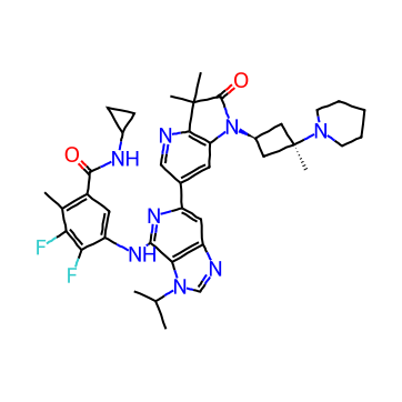 Cc1c(C(=O)NC2CC2)cc(Nc2nc(-c3cnc4c(c3)N([C@H]3C[C@@](C)(N5CCCCC5)C3)C(=O)C4(C)C)cc3ncn(C(C)C)c23)c(F)c1F